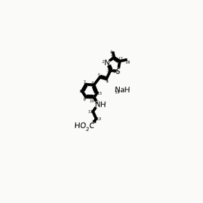 Cc1nc(C=Cc2cccc(NCCC(=O)O)c2)sc1C.[NaH]